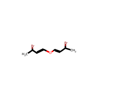 CC(Br)C=COC=CC(C)Br